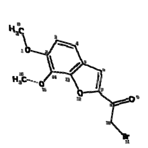 COc1ccc2cc(C(=O)CBr)oc2c1OC